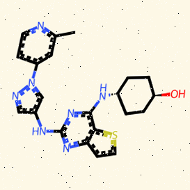 Cc1cc(-n2cc(Nc3nc(N[C@H]4CC[C@H](O)CC4)c4sccc4n3)cn2)ccn1